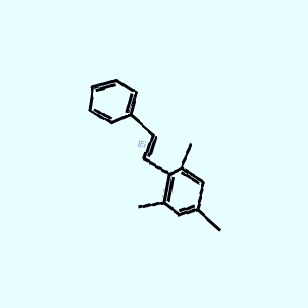 Cc1cc(C)c(/C=C/c2ccccc2)c(C)c1